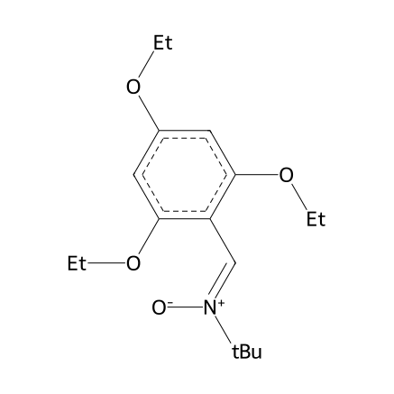 CCOc1cc(OCC)c(C=[N+]([O-])C(C)(C)C)c(OCC)c1